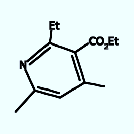 CCOC(=O)c1c(C)cc(C)nc1CC